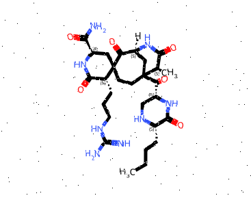 CCCC[C@@H]1NC[C@H](C(=O)C23CCC4(C[C@H](C(N)=O)NC(=O)[C@H]4CCCNC(=N)N)C(=O)[C@H](C2)NC(=O)[C@H]3C)NC1=O